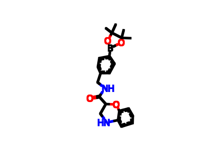 CC1(C)OB(c2ccc(CNC(=O)C3CNc4ccccc4O3)cc2)OC1(C)C